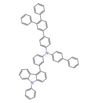 c1ccc(-c2ccc(N(c3ccc(-c4ccc(-c5ccccc5)c(-c5ccccc5)c4)cc3)c3cccc(-c4cccc5c4c4ccccc4n5-c4ccccc4)c3)cc2)cc1